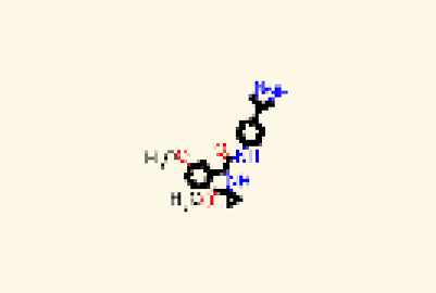 COCC1(NC(C(=O)Nc2ccc(-c3cn[nH]c3)cc2)c2cccc(OC)c2)CC1